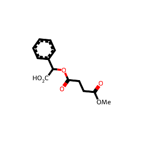 COC(=O)CCC(=O)OC(C(=O)O)c1ccccc1